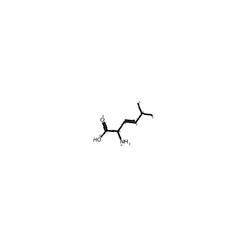 CC(C)C=CC(N)C(=O)O